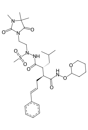 CC(C)C[C@@H](C(=O)NN(CCN1C(=O)N(C)C(C)(C)C1=O)S(C)(=O)=O)[C@H](CC=Cc1ccccc1)C(=O)NOC1CCCCO1